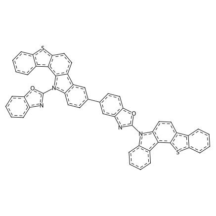 c1ccc2oc(-n3c4ccc(-c5ccc6oc(-n7c8ccccc8c8c9sc%10ccccc%10c9ccc87)nc6c5)cc4c4ccc5sc6ccccc6c5c43)nc2c1